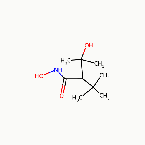 CC(C)(C)C(C(=O)NO)C(C)(C)O